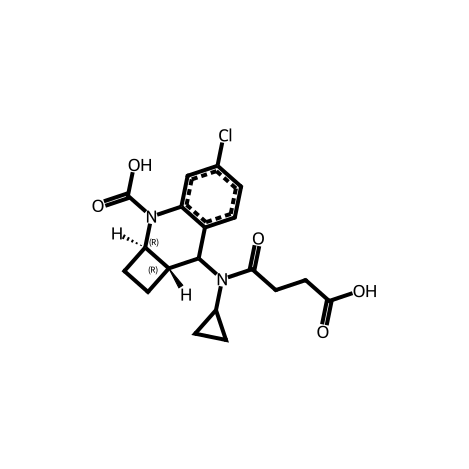 O=C(O)CCC(=O)N(C1CC1)C1c2ccc(Cl)cc2N(C(=O)O)[C@@H]2CC[C@@H]12